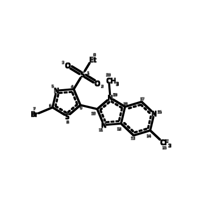 CCS(=O)(=O)c1nc(Br)sc1-c1nc2cc(C(F)(F)F)ncc2n1C